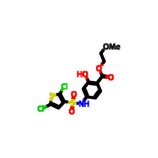 COCCOC(=O)c1ccc(NS(=O)(=O)c2cc(Cl)sc2Cl)cc1O